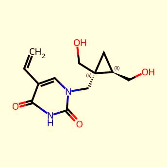 C=Cc1cn(C[C@]2(CO)C[C@H]2CO)c(=O)[nH]c1=O